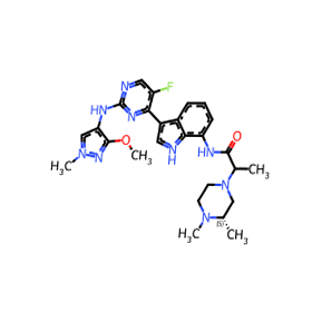 COc1nn(C)cc1Nc1ncc(F)c(-c2c[nH]c3c(NC(=O)C(C)N4CCN(C)[C@@H](C)C4)cccc23)n1